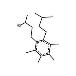 Cc1c(C)c(C)c(CCC(C)S)c(CCC(C)C)c1C